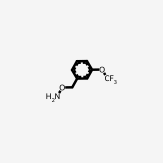 NOCc1cccc(OC(F)(F)F)c1